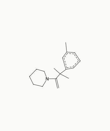 C=C(N1CCCCC1)C(C)(C)c1cccc(C)c1